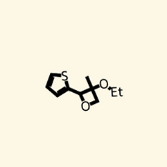 CCOC1(C)COC1c1cccs1